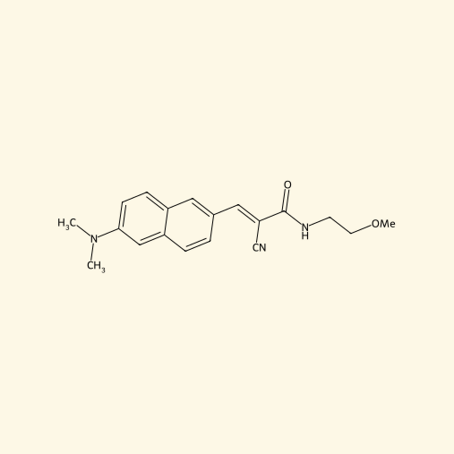 COCCNC(=O)/C(C#N)=C/c1ccc2cc(N(C)C)ccc2c1